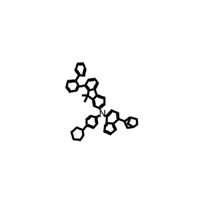 CC1(C)c2cc(N(c3ccc(C4CCCCC4)cc3)c3ccc(C4CC5CCC4C5)c4ccccc34)ccc2-c2cccc(-c3ccccc3-c3ccccc3)c21